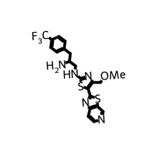 COCc1nc(NCC(N)Cc2ccc(C(F)(F)F)cc2)sc1-c1nc2ccncc2s1